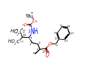 CC(CC[C@H](NC(=O)OC(C)(C)C)C(C(=O)O)C(=O)O)C(=O)OCc1ccccc1